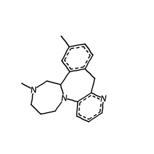 Cc1ccc2c(c1)C1CN(C)CCCN1c1cccnc1C2